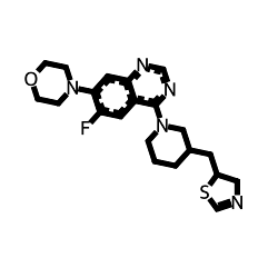 Fc1cc2c(N3CCCC(CC4CN=CS4)C3)ncnc2cc1N1CCOCC1